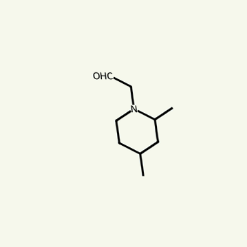 CC1CCN(CC=O)C(C)C1